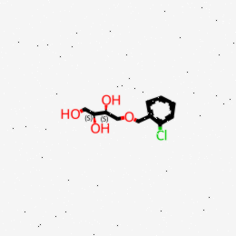 OC[C@H](O)[C@@H](O)COCc1ccccc1Cl